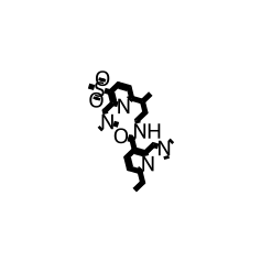 CCc1ccc(C(=O)NCCC(C)c2ccc(S(C)(=O)=O)c(CN(C)C)n2)c(CN(C)C)n1